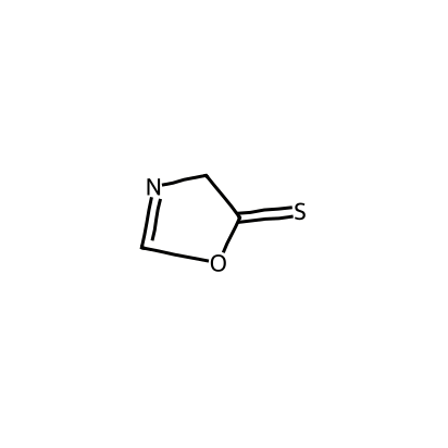 S=C1CN=CO1